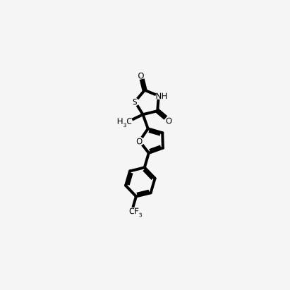 CC1(c2ccc(-c3ccc(C(F)(F)F)cc3)o2)SC(=O)NC1=O